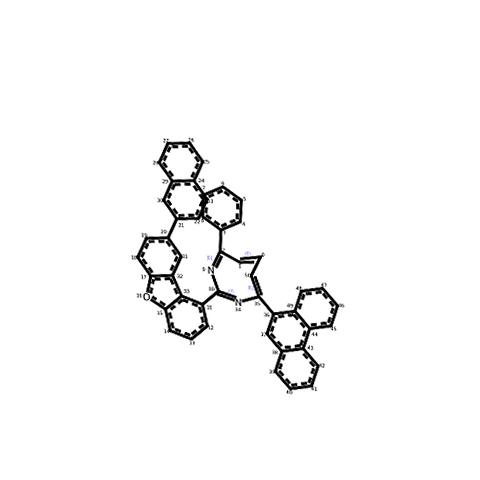 C1=C/C(c2ccccc2)=N\C(c2cccc3oc4ccc(-c5ccc6ccccc6c5)cc4c23)=N/C(c2cc3ccccc3c3ccccc23)=C/1